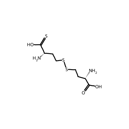 N[C@@H](CCSSCC[C@H](N)C(O)=S)C(=O)O